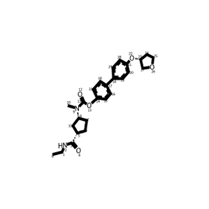 CCNC(=O)[C@H]1CC[C@@H](N(C)C(=O)Oc2ccc(-c3ccc(O[C@@H]4CCOC4)cc3)cc2)C1